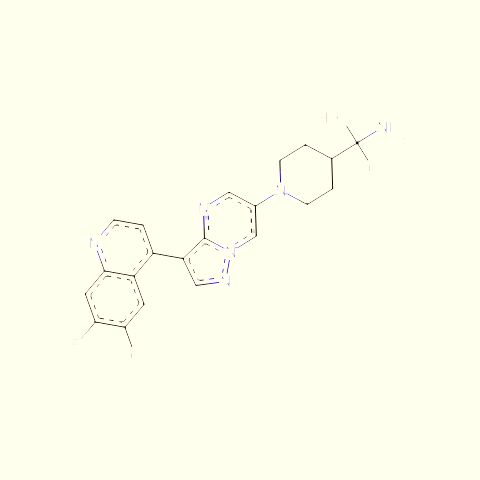 Cc1cc2c(-c3cnn4cc(N5CCC(C(C)(C)N)CC5)cnc34)ccnc2cc1F